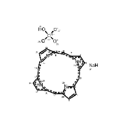 C1=Cc2cc3ccc(cc4nc(cc5ccc(cc1n2)[nH]5)C=C4)[nH]3.[NaH].[O-][Cl+3]([O-])([O-])O